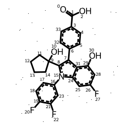 O=C(O)c1ccc(-c2c(C3(O)CCCC3)n(-c3ccc(F)c(F)c3)c3cc(F)cc(O)c23)cc1